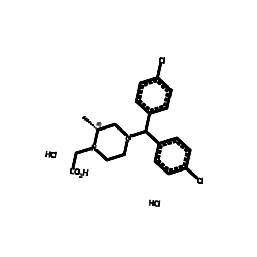 C[C@@H]1CN(C(c2ccc(Cl)cc2)c2ccc(Cl)cc2)CCN1CC(=O)O.Cl.Cl